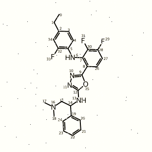 CCc1ccc(Nc2c(-c3nnc(NC(CN(C)C)c4ccccc4)o3)ccc(F)c2F)c(F)c1